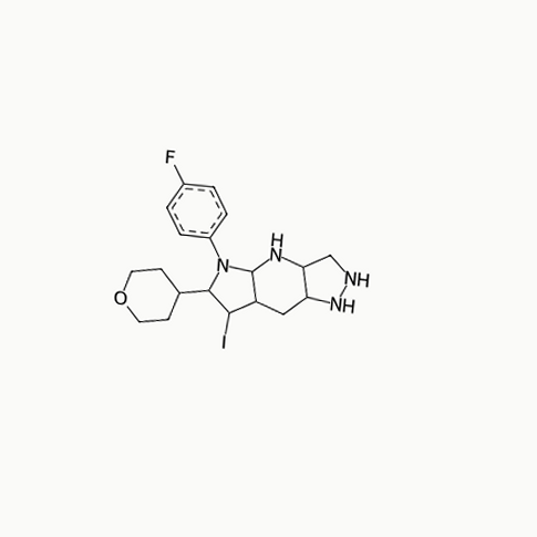 Fc1ccc(N2C3NC4CNNC4CC3C(I)C2C2CCOCC2)cc1